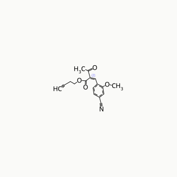 C#CCCOC(=O)/C(=C\c1ccc(C#N)cc1OC)C(C)=O